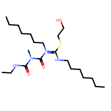 CCCCCCCNC(SCCO)=[N+](CCCCCCC)C(=O)N(C)C(=O)NCC